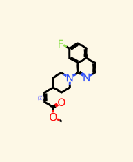 COC(=O)/C=C\C1CCN(c2nccc3ccc(F)cc23)CC1